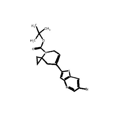 CC(C)(C)OC(=O)N1CC=C(c2cc3ncc(Br)cc3s2)CC12CC2